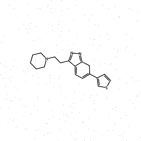 C1=C2C(CCN3CCCCC3)=NN=C2CC(c2ccsc2)=C1